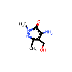 Cc1nn(C)c(=O)c(N)c1CO